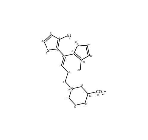 CCc1ccsc1C(=CCCN1CCCC(C(=O)O)C1)c1sccc1C